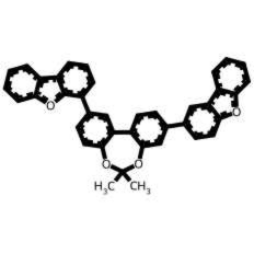 CC1(C)Oc2cc(-c3ccc4oc5ccccc5c4c3)ccc2-c2cc(-c3cccc4c3oc3ccccc34)ccc2O1